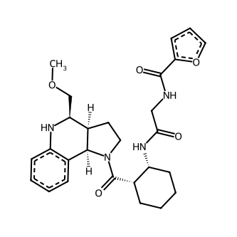 COC[C@@H]1Nc2ccccc2[C@H]2[C@@H]1CCN2C(=O)[C@H]1CCCC[C@H]1NC(=O)CNC(=O)c1ccco1